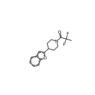 CC(F)(F)C(=O)N1CCC(c2cc3ccccc3o2)CC1